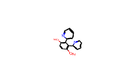 Oc1ccc(O)c(-c2ccccn2)c1-c1ccccn1